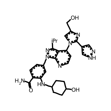 CC(C)c1nn(-c2ccc(C(N)=O)c(NC3CCC(O)CC3)c2)c2nccc(-n3cc(CO)nc3-c3cn[nH]c3)c12